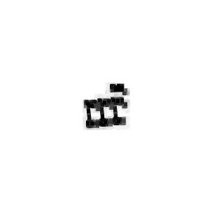 O=[N+]([O-])O.O=[N+]([O-])O.O=[N+]([O-])O.[SrH2]